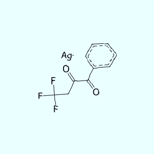 O=C(CC(F)(F)F)C(=O)c1ccccc1.[Ag]